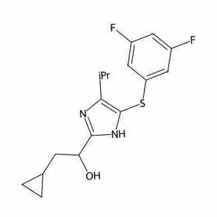 CC(C)c1nc(C(O)CC2CC2)[nH]c1Sc1cc(F)cc(F)c1